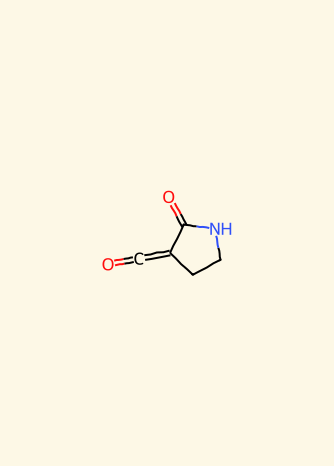 O=C=C1CCNC1=O